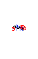 COC(=O)[C@H](C)NC(=O)c1ccc(-c2cccc(OC)c2)nc1